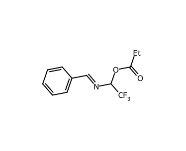 CCC(=O)OC(N=Cc1ccccc1)C(F)(F)F